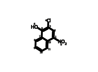 O=[N+]([O-])c1cc(Cl)c(O)c2ccccc12